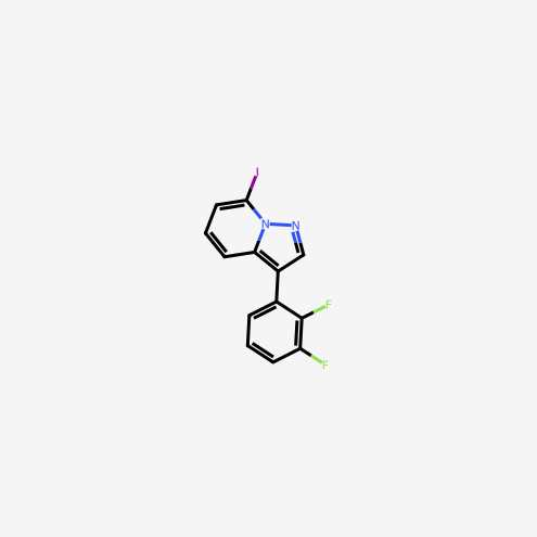 Fc1cccc(-c2cnn3c(I)cccc23)c1F